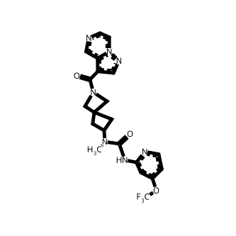 CN(C(=O)Nc1cc(OC(F)(F)F)ccn1)C1CC2(C1)CN(C(=O)c1cnn3ccncc13)C2